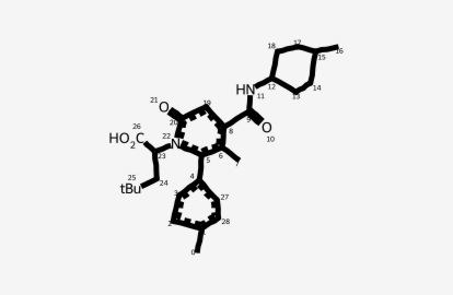 Cc1ccc(-c2c(C)c(C(=O)NC3CCC(C)CC3)cc(=O)n2C(CC(C)(C)C)C(=O)O)cc1